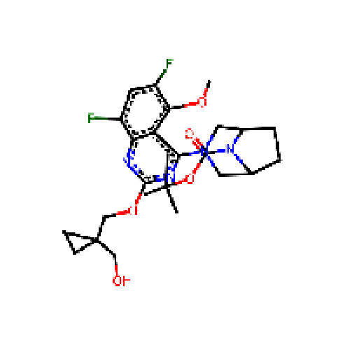 COc1c(F)cc(F)c2nc(OCC3(CO)CC3)nc(N3CC4CCC(C3)N4C(=O)OC(C)(C)C)c12